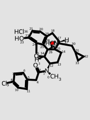 CN(C(=O)Cc1ccc(Cl)cc1)[C@@H]1CC[C@@]2(O)[C@H]3Cc4ccc(O)c5c4[C@@]2(CCN3CC2CC2)[C@H]1O5.Cl